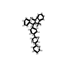 CC1(C)c2ccccc2-c2nc3ccccc3c(-c3ccc(-c4cnc(-c5ccccn5)cn4)cc3)c21